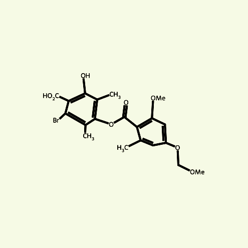 COCOc1cc(C)c(C(=O)Oc2c(C)c(O)c(C(=O)O)c(Br)c2C)c(OC)c1